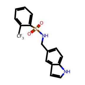 O=S(=O)(NCc1ccc2[nH]ccc2c1)c1ccccc1C(F)(F)F